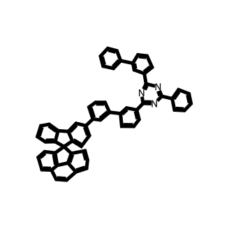 c1ccc(-c2cccc(-c3nc(-c4ccccc4)nc(-c4cccc(-c5cccc(-c6ccc7c(c6)-c6ccccc6C76c7cccc8ccc9cccc6c9c78)c5)c4)n3)c2)cc1